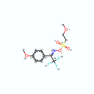 COCCS(=O)(=O)ON=C(c1ccc(OC)cc1)C(F)(F)F